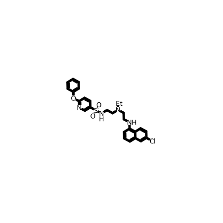 CCN(CCNc1cccc2cc(Cl)ccc12)CCNS(=O)(=O)c1ccc(Oc2ccccc2)nc1